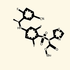 C[C@H](Nc1cc(F)c(S(=O)(=O)N(C(=O)OC(C)(C)C)c2cscn2)c(F)c1)c1cc(C#N)ccc1F